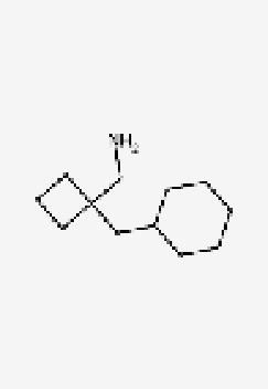 NCC1(CC2CCCCC2)CCC1